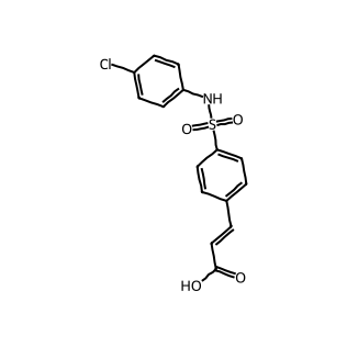 O=C(O)C=Cc1ccc(S(=O)(=O)Nc2ccc(Cl)cc2)cc1